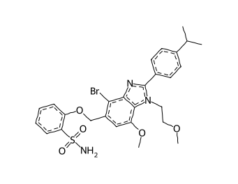 COCCn1c(-c2ccc(C(C)C)cc2)nc2c(Br)c(COc3ccccc3S(N)(=O)=O)cc(OC)c21